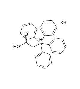 O=C(O)C[SH](c1ccccc1)(c1ccccc1)(c1ccccc1)c1ccccc1.[KH]